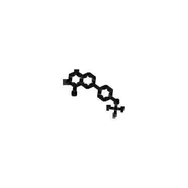 O=c1[nH]cnc2ccc(-c3ccc(OC(F)(F)F)cc3)cc12